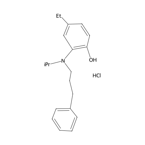 CCc1ccc(O)c(N(CCCc2ccccc2)C(C)C)c1.Cl